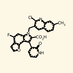 Cc1ccc2cc(Cn3c(C(=O)O)c(-c4ccc[nH]c4=O)c4c5occc5c(F)cc43)c(Cl)nc2c1